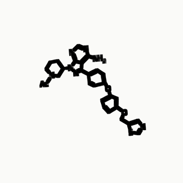 CC(=O)N1CCC[C@@H](n2nc(-c3ccc(Oc4cccc(OCc5cncs5)c4)cc3)c3c(N)ncnc32)C1